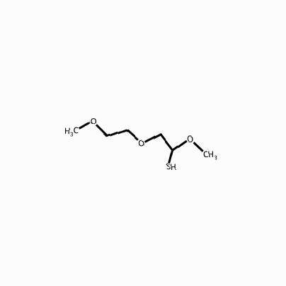 COCCOCC(S)OC